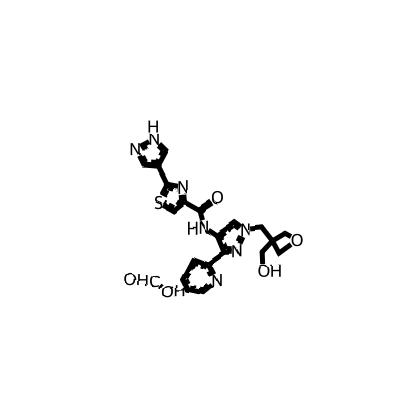 O=C(Nc1cn(CC2(CO)COC2)nc1-c1ccccn1)c1csc(-c2cn[nH]c2)n1.O=CO